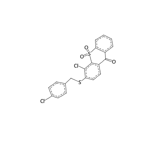 O=C1c2ccccc2S(=O)(=O)c2c1ccc(SCc1ccc(Cl)cc1)c2Cl